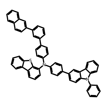 c1ccc(-n2c3ccccc3c3cc(-c4ccc(N(c5ccc(-c6cccc(-c7ccc8ccccc8c7)c6)cc5)c5cccc6c5sc5ccccc56)cc4)ccc32)cc1